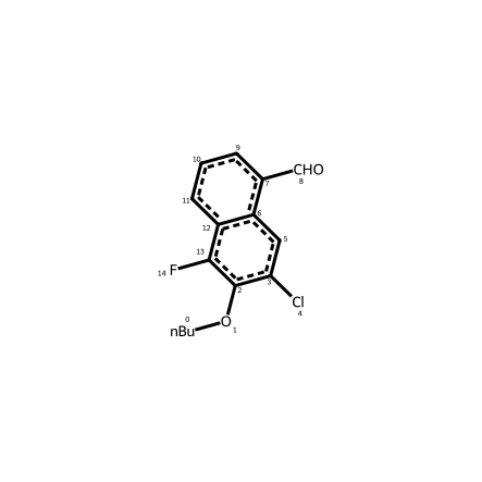 CCCCOc1c(Cl)cc2c(C=O)cccc2c1F